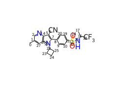 Cc1cnc2c(C#N)c(-c3ccc(S(=O)(=O)N[C@@H](C)C(F)(F)F)cc3)n(C3CCC3)c2c1